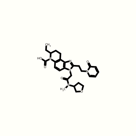 CCC1CCc2c(ccc3c2nc(CCn2ccccc2=O)n3CC(=O)N(C)C2CCOC2)N1C(=O)O